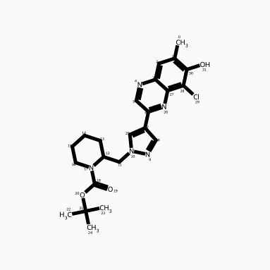 Cc1cc2ncc(-c3cnn(CC4CCCCN4C(=O)OC(C)(C)C)c3)nc2c(Cl)c1O